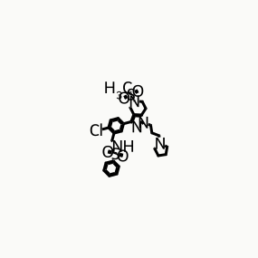 CS(=O)(=O)N1CCc2c(c(-c3ccc(Cl)c(CNS(=O)(=O)c4ccccc4)c3)nn2CCCN2CCCC2)C1